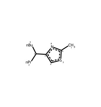 CCCCC(CCC)c1csc(C)n1